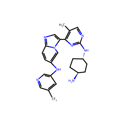 Cc1cnc(N[C@H]2CC[C@H](N)CC2)nc1-c1cnc2ccc(Nc3cncc(C(F)(F)F)c3)cn12